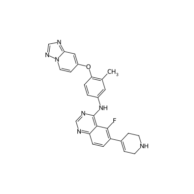 Cc1cc(Nc2ncnc3ccc(C4=CCNCC4)c(F)c23)ccc1Oc1ccn2ncnc2c1